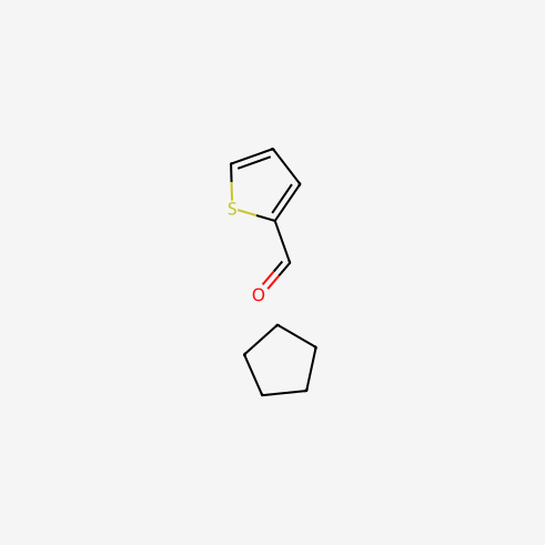 C1CCCC1.O=Cc1cccs1